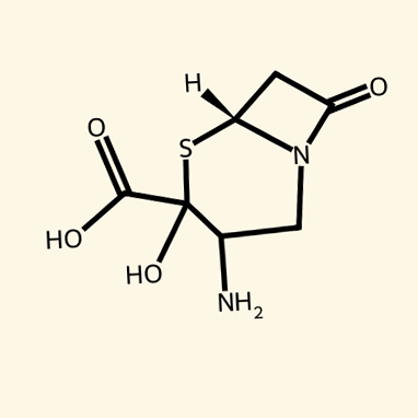 NC1CN2C(=O)C[C@H]2SC1(O)C(=O)O